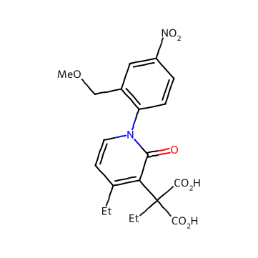 CCc1ccn(-c2ccc([N+](=O)[O-])cc2COC)c(=O)c1C(CC)(C(=O)O)C(=O)O